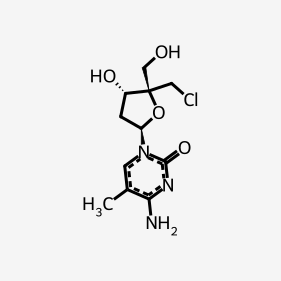 Cc1cn([C@H]2C[C@H](O)[C@](CO)(CCl)O2)c(=O)nc1N